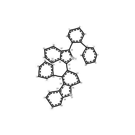 c1ccc(-c2ccccc2-c2oc(-c3ccc4oc5ccccc5c4c3-c3ccccc3)c3ccccc23)cc1